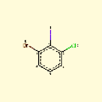 Clc1cccc(Br)c1I